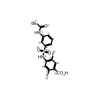 CC(C)(C)C(=O)Nc1cccc(S(=O)(=O)Nc2cc(F)c(C(=O)O)cc2F)c1